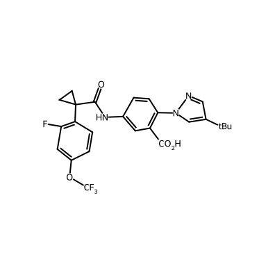 CC(C)(C)c1cnn(-c2ccc(NC(=O)C3(c4ccc(OC(F)(F)F)cc4F)CC3)cc2C(=O)O)c1